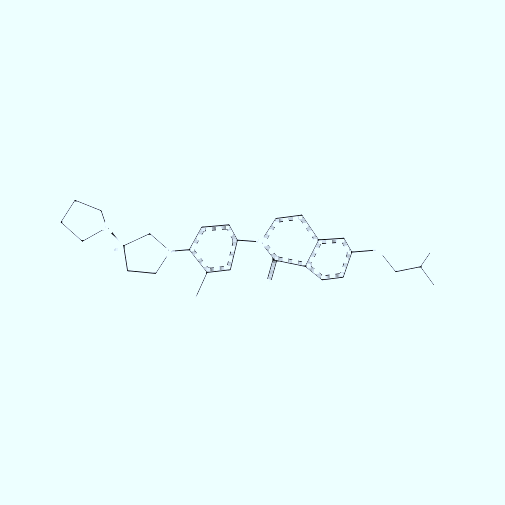 CCC(O)COc1ccc2c(=O)n(-c3ccc(N4CC[C@@H](N5CCCC5)C4)c(F)c3)ccc2c1